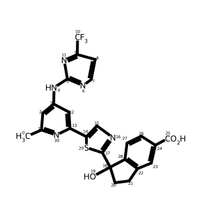 Cc1cc(Nc2nccc(C(F)(F)F)n2)cc(-c2cnc(C3(O)CCc4cc(C(=O)O)ccc43)s2)n1